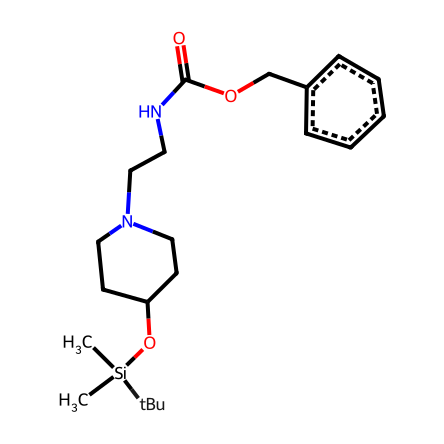 CC(C)(C)[Si](C)(C)OC1CCN(CCNC(=O)OCc2ccccc2)CC1